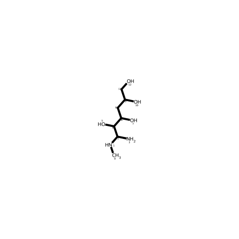 CNC(N)C(O)C(O)CC(O)CO